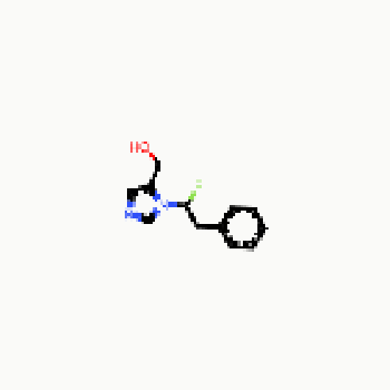 OCc1cncn1C(F)Cc1ccccc1